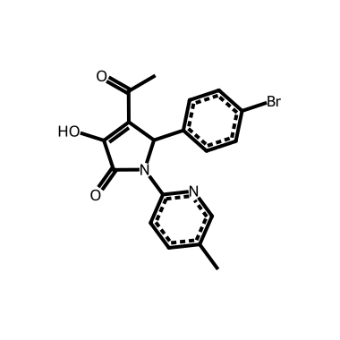 CC(=O)C1=C(O)C(=O)N(c2ccc(C)cn2)C1c1ccc(Br)cc1